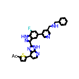 CC(=O)c1ccc(-c2ccnc3[nH]c(-c4n[nH]c5c(F)cc(-c6cncc(CNCc7ccccc7)c6)cc45)nc23)s1